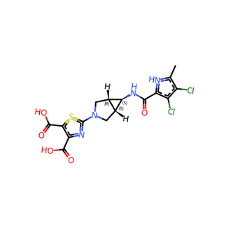 Cc1[nH]c(C(=O)N[C@H]2[C@@H]3CN(c4nc(C(=O)O)c(C(=O)O)s4)C[C@@H]32)c(Cl)c1Cl